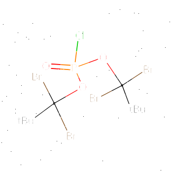 CC(C)(C)C(Br)(Br)OP(=O)(Cl)OC(Br)(Br)C(C)(C)C